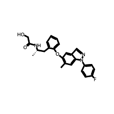 Cc1cc2c(cnn2-c2ccc(F)cc2)cc1Oc1ccccc1C[C@H](C)NC(=O)CO